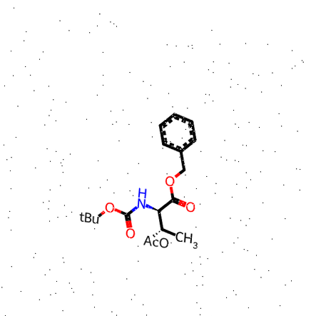 CC(=O)O[C@@H](C)[C@@H](NC(=O)OC(C)(C)C)C(=O)OCc1ccccc1